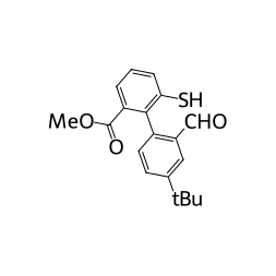 COC(=O)c1cccc(S)c1-c1ccc(C(C)(C)C)cc1C=O